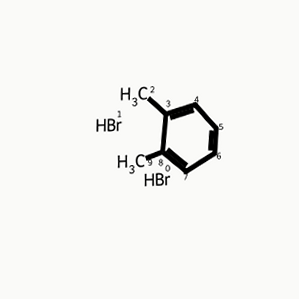 Br.Br.Cc1ccccc1C